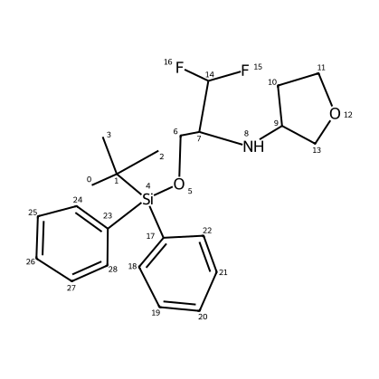 CC(C)(C)[Si](OCC(NC1CCOC1)C(F)F)(c1ccccc1)c1ccccc1